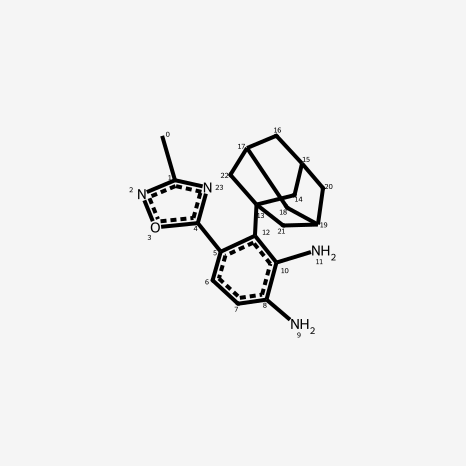 Cc1noc(-c2ccc(N)c(N)c2C23CC4CC(CC(C4)C2)C3)n1